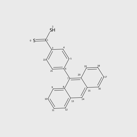 S=C(S)c1ccc(-c2c3ccccc3cc3ccccc23)cc1